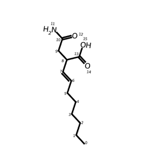 CCCCCCC=CC(CC(N)=O)C(=O)O